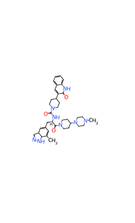 CC1=CC(C[C@@H](NC(=O)N2CCC(c3cc4ccccc4[nH]c3=O)CC2)C(=O)N2CCC(N3CCN(C)CC3)CC2)=CC2C=NNC12